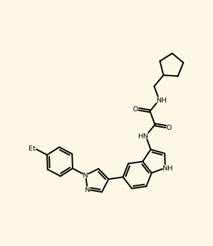 CCc1ccc(-n2cc(-c3ccc4[nH]cc(NC(=O)C(=O)NCC5CCCC5)c4c3)cn2)cc1